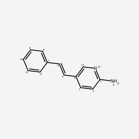 Nc1ccc(C=Cc2ccccc2)cn1